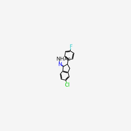 CC(=O)N/N=C1/c2ccc(Cl)cc2CC1c1ccc(F)cc1